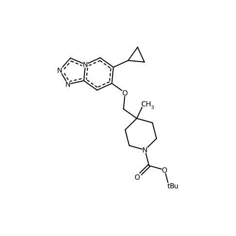 CC1(COc2cc3nncn3cc2C2CC2)CCN(C(=O)OC(C)(C)C)CC1